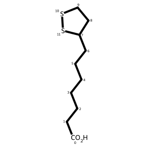 O=C(O)CCCCCCC1CCSS1